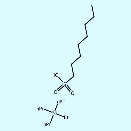 CCCCCCCCS(=O)(=O)O.CCC[N+](CC)(CCC)CCC